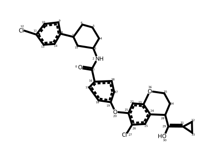 O=C(NC1CCCC(c2ccc(Cl)cc2)C1)c1ccc(Oc2cc3c(cc2Cl)C(C(O)=C2CC2)CCO3)cc1